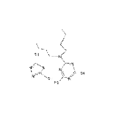 CCCCN(CCCC)c1nc(S)nc(S)n1.Sc1nnc(S)s1